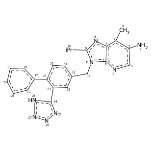 Cc1c(N)cnc2c1nc(C(C)C)n2Cc1ccc(-c2ccccc2)c(-c2nnn[nH]2)c1